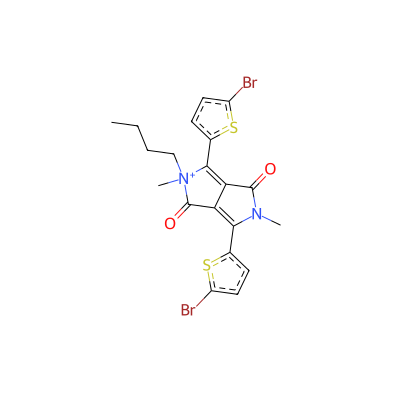 CCCC[N+]1(C)C(=O)C2=C(c3ccc(Br)s3)N(C)C(=O)C2=C1c1ccc(Br)s1